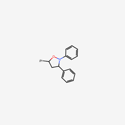 CC(C)C1CC(c2ccccc2)N(c2ccccc2)O1